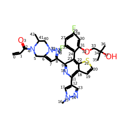 C=CC(=O)N1Cc2cc(-c3nc(-c4cnn(C)c4)c4ccsc4c3-c3c(F)cc(F)cc3OCC(C)(C)O)nn2CC1C